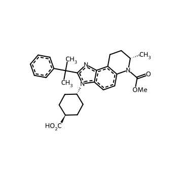 COC(=O)N1c2ccc3c(nc(C(C)(C)c4ccccc4)n3[C@H]3CC[C@H](C(=O)O)CC3)c2CC[C@@H]1C